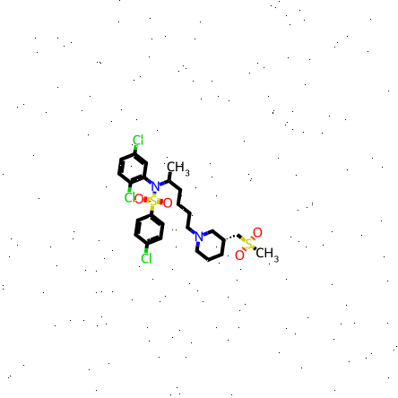 CC(CCCCN1CCC[C@@H](CS(C)(=O)=O)C1)N(c1cc(Cl)ccc1Cl)S(=O)(=O)c1ccc(Cl)cc1